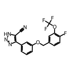 N#Cc1[nH]nnc1-c1cccc(OCc2ccc(F)c(OC(F)(F)F)c2)c1